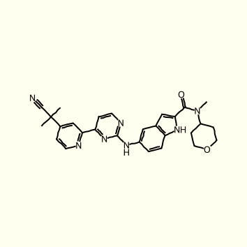 CN(C(=O)c1cc2cc(Nc3nccc(-c4cc(C(C)(C)C#N)ccn4)n3)ccc2[nH]1)C1CCOCC1